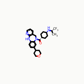 C[C@H](N[C@H]1CC[C@H](C(=O)N2Cc3cccnc3Nc3ccc(C4CCOCC4)cc32)CC1)C(F)(F)F